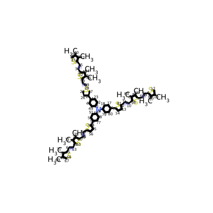 Cc1csc(/C=C/c2sc(/C=C/c3ccc(-c4ccc(N(c5ccc(C6=CC=S(/C=C/c7sc(/C=C/c8scc(C)c8C)c(C)c7C)C6)cc5)c5ccc(-c6ccc(/C=C/c7sc(/C=C/c8scc(C)c8C)c(C)c7C)s6)cc5)cc4)s3)c(C)c2C)c1C